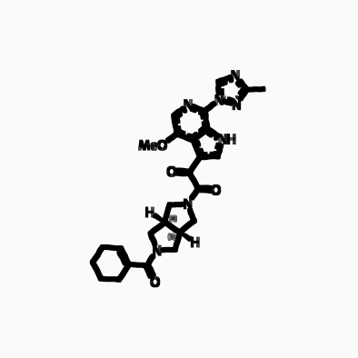 COc1cnc(-n2cnc(C)n2)c2[nH]cc(C(=O)C(=O)N3C[C@@H]4CN(C(=O)C5=CCCCC5)C[C@@H]4C3)c12